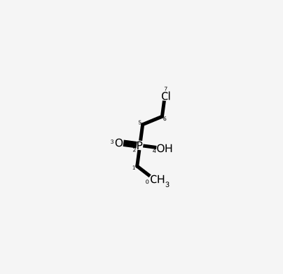 CCP(=O)(O)CCCl